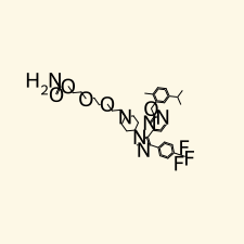 Cc1ccc(C(C)C)cc1Oc1nccc(-c2c(-c3ccc(C(F)(F)F)cc3)ncn2C2CCN(CCOCCOCCOC(N)=O)CC2)n1